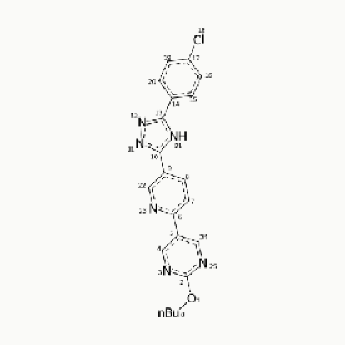 CCCCOc1ncc(-c2ccc(-c3nnc(-c4ccc(Cl)cc4)[nH]3)cn2)cn1